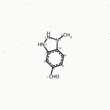 CN1NNc2cc(C=O)ccc21